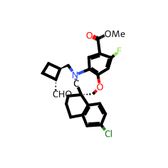 COC(=O)c1cc2c(cc1F)OC[C@]1(CCCc3cc(Cl)ccc31)CN2C[C@@H]1CC[C@H]1C=O